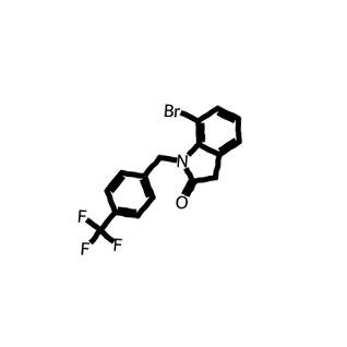 O=C1Cc2cccc(Br)c2N1Cc1ccc(C(F)(F)F)cc1